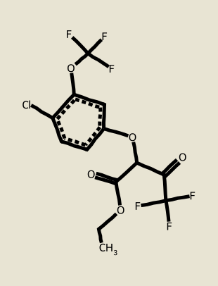 CCOC(=O)C(Oc1ccc(Cl)c(OC(F)(F)F)c1)C(=O)C(F)(F)F